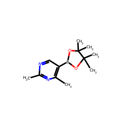 Cc1ncc(B2OC(C)(C)C(C)(C)O2)c(C)n1